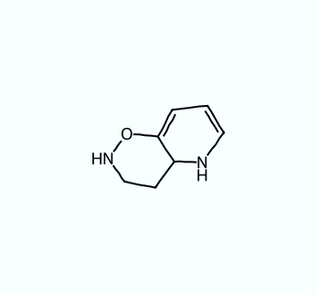 C1=CNC2CCNOC2=C1